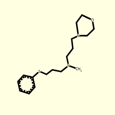 CN(CCCSc1ccccc1)CCCN1CCOCC1